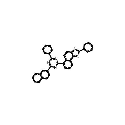 c1ccc(-c2nc(-c3ccc4ccccc4c3)nc(-c3cccc4c3ccc3nc(-c5ccccc5)sc34)n2)cc1